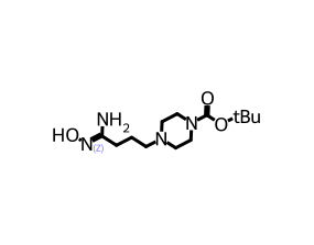 CC(C)(C)OC(=O)N1CCN(CCC/C(N)=N/O)CC1